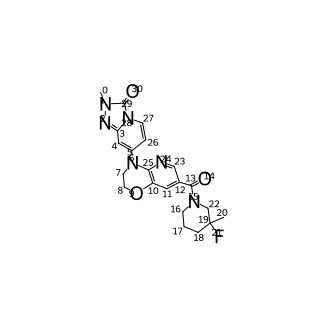 Cn1nc2cc(N3CCOc4cc(C(=O)N5CCCC(C)(F)C5)cnc43)ccn2c1=O